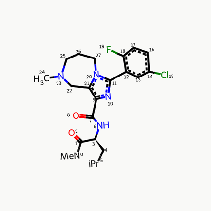 CNC(=O)[C@H](CC(C)C)NC(=O)c1nc(-c2cc(Cl)ccc2F)n2c1CN(C)CCC2